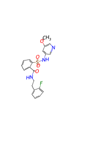 COc1cncc(NS(=O)(=O)c2ccccc2C(=O)NCCc2ccccc2F)c1